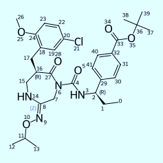 CC[C@@H](NC(=O)N1C/C(=N/OC(C)C)NC[C@@H](Cc2cc(Cl)ccc2OC)C1=O)c1ccc(C(=O)OC(C)(C)C)cc1